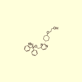 CC(C)(C)[Si](OCc1ccnc([C@H]2CC[C@H](OCCO)CC2)n1)(c1ccccc1)c1ccccc1